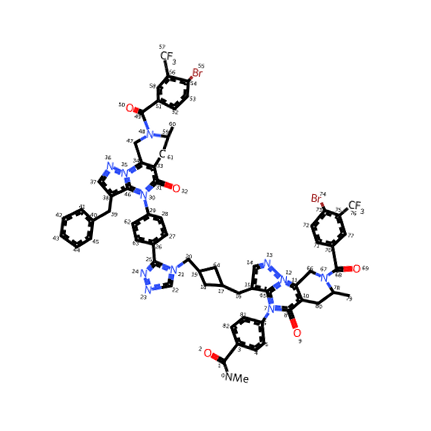 CNC(=O)c1ccc(-n2c(=O)c3c(n4ncc(CC5CC(Cn6cnnc6-c6ccc(-n7c(=O)c8c(n9ncc(Cc%10ccccc%10)c79)CN(C(=O)c7ccc(Br)c(C(F)(F)F)c7)C(C)C8)cc6)C5)c24)CN(C(=O)c2ccc(Br)c(C(F)(F)F)c2)C(C)C3)cc1